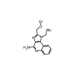 CCOCc1nc2c(N)nc3ccccc3c2n1CC(C)(C)C